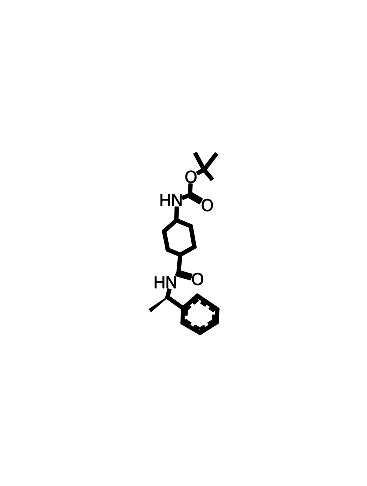 C[C@@H](NC(=O)C1CCC(NC(=O)OC(C)(C)C)CC1)c1ccccc1